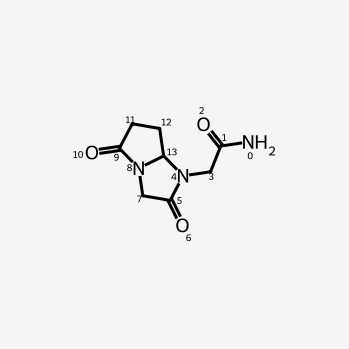 NC(=O)CN1C(=O)CN2C(=O)CCC12